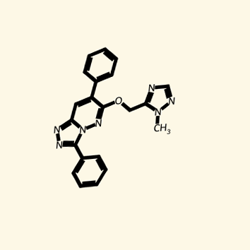 Cn1ncnc1COc1nn2c(-c3ccccc3)nnc2cc1-c1ccccc1